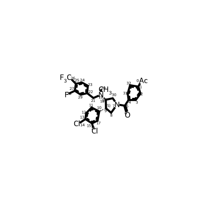 CC(=O)c1ccc(C(=O)N2C[C@H](c3ccc(Cl)c(Cl)c3)[C@H](N(C)Cc3ccc(C(F)(F)F)c(F)c3)C2)cc1